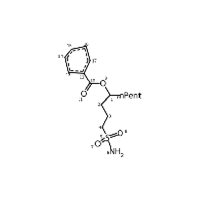 CCCCCC(CCCS(N)(=O)=O)OC(=O)c1ccccc1